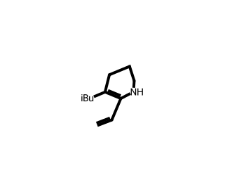 C=CC1=C(C(C)CC)CCCN1